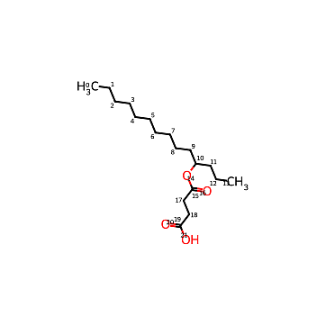 CCCCCCCCCCC(CCC)OC(=O)CCC(=O)O